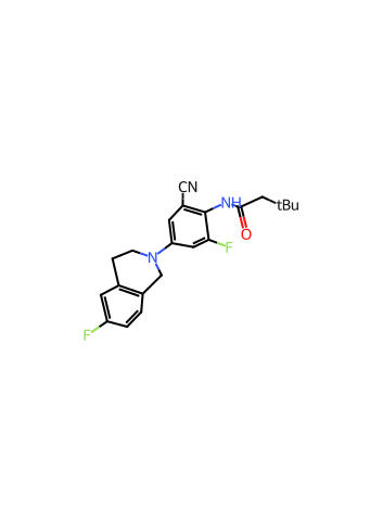 CC(C)(C)CC(=O)Nc1c(F)cc(N2CCc3cc(F)ccc3C2)cc1C#N